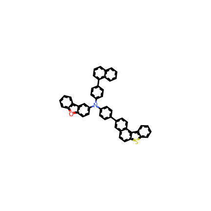 c1ccc2c(-c3ccc(N(c4ccc(-c5ccc6c(ccc7sc8ccccc8c76)c5)cc4)c4ccc5oc6ccccc6c5c4)cc3)cccc2c1